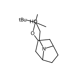 CC(C)(C)[Si](C)(C)OC1CC2CCC(C1)N2CCO